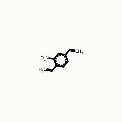 C=Cc1ccc(C=C)c([N+](=O)[O-])c1